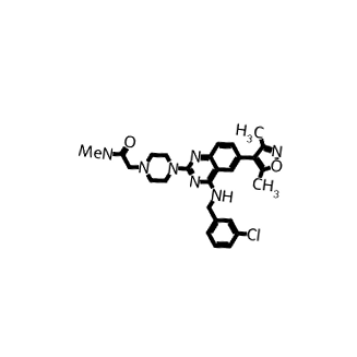 CNC(=O)CN1CCN(c2nc(NCc3cccc(Cl)c3)c3cc(-c4c(C)noc4C)ccc3n2)CC1